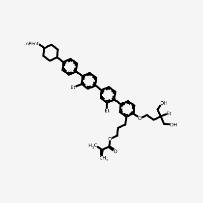 C=C(C)C(=O)OCCCc1cc(-c2ccc(-c3ccc(-c4ccc(C5CCC(CCCCC)CC5)cc4)c(CC)c3)cc2CC)ccc1OCCC(CC)(CO)CO